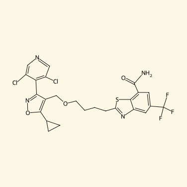 NC(=O)c1cc(C(F)(F)F)cc2nc(CCCCOCc3c(-c4c(Cl)cncc4Cl)noc3C3CC3)sc12